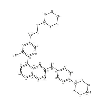 Fc1cc(OCCN2CCOCC2)ccc1-c1nccc2cnc(Nc3ccc(N4CCNCC4)cc3)nc12